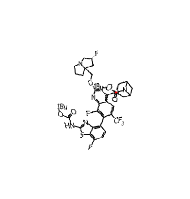 CC(C)(C)OC(=O)Nc1nc2c(-c3c(C(F)(F)F)cc4c(N5CC6CC(C5)N6C(=O)OC(C)(C)C)nc(OC[C@@]56CCCN5C[C@H](F)C6)nc4c3F)ccc(F)c2s1